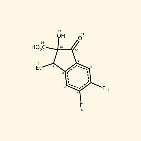 CCC1c2cc(F)c(F)cc2C(=O)C1(O)C(=O)O